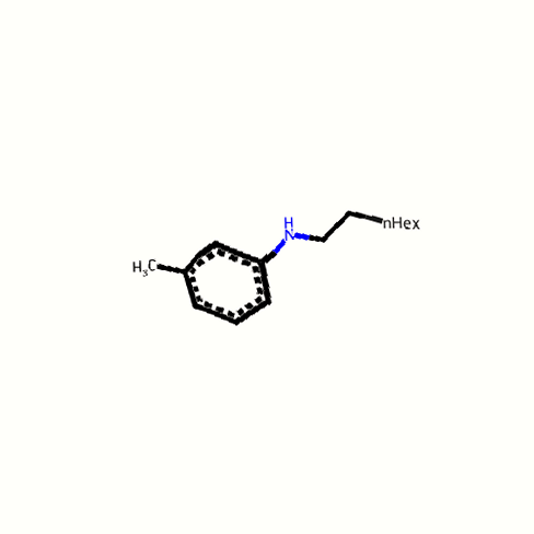 CCCCCCCCNc1cccc(C)c1